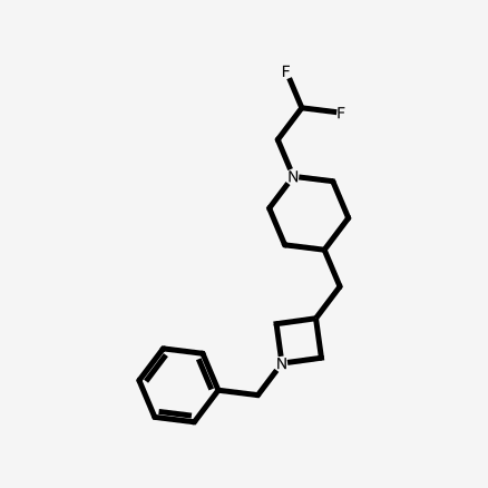 FC(F)CN1CCC(CC2CN(Cc3ccccc3)C2)CC1